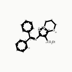 CCOC(=O)c1c(N=C(c2ccccc2)c2ccccc2)nn2c1OCCC2